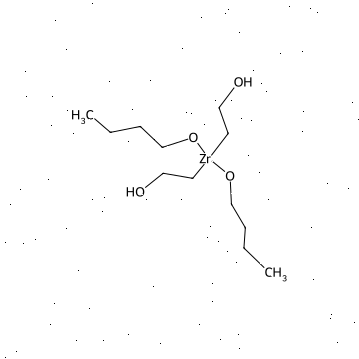 CCCC[O][Zr]([CH2]CO)([CH2]CO)[O]CCCC